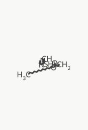 C=CC(=O)OCCCCCCCCCCCC.Cn1ccnc1S